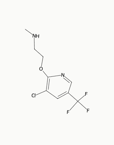 CNCCOc1ncc(C(F)(F)F)cc1Cl